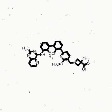 COc1nc(-c2cccc(-c3cccc(Nc4nc(C)nc5cccnc45)c3C)c2Cl)ccc1CN1CC(C)(C(=O)O)C1